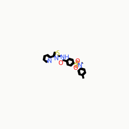 Cc1ccc(N(C)S(=O)(=O)c2ccc(C(=O)Nc3nc(-c4ccccn4)cs3)cc2)cc1